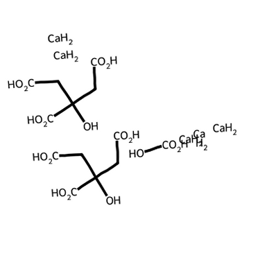 O=C(O)CC(O)(CC(=O)O)C(=O)O.O=C(O)CC(O)(CC(=O)O)C(=O)O.O=C(O)O.[CaH2].[CaH2].[CaH2].[CaH2].[CaH2]